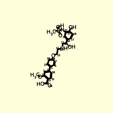 COc1cc(-c2ccc(OCCNC[C@H](O)c3ccc(O)c(NS(C)(=O)=O)c3)cc2)ccc1C(=O)O